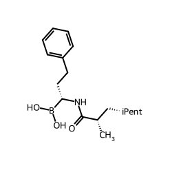 CCC[C@@H](C)C[C@H](C)C(=O)N[C@@H](CCc1ccccc1)B(O)O